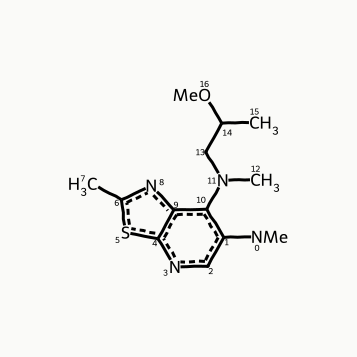 CNc1cnc2sc(C)nc2c1N(C)CC(C)OC